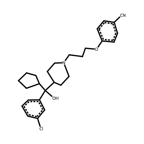 N#Cc1ccc(OCCCN2CCC(C(O)(c3cccc(Cl)c3)C3CCCC3)CC2)cc1